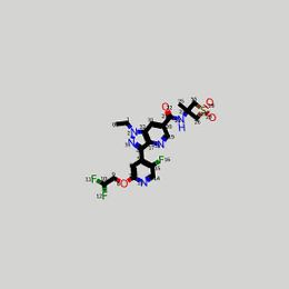 CCn1nc(-c2cc(OCC(F)F)ncc2F)c2ncc(C(=O)NC3(C)CS(=O)(=O)C3)cc21